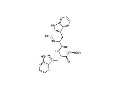 CCCCCCCCCCNC(=O)[C@H](Cc1c[nH]c2ccccc12)NC(=O)[C@H](Cc1c[nH]c2ccccc12)NC(=O)O